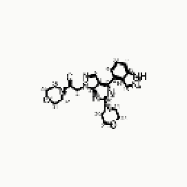 O=C(Cn1ncc2c(-c3cccc4[nH]ncc34)nc(N3CCOCC3)nc21)N1CCOCC1